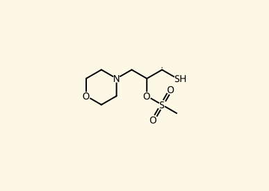 CS(=O)(=O)OC([CH]S)CN1CCOCC1